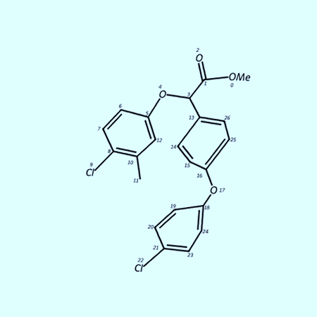 COC(=O)C(Oc1ccc(Cl)c(C)c1)c1ccc(Oc2ccc(Cl)cc2)cc1